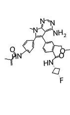 C=C(C)C(=O)Nc1ccc(-c2c(-c3ccc(C(=O)N[C@H]4C[C@@H](F)C4)c(COC)c3)c3c(N)ncnc3n2C)cc1